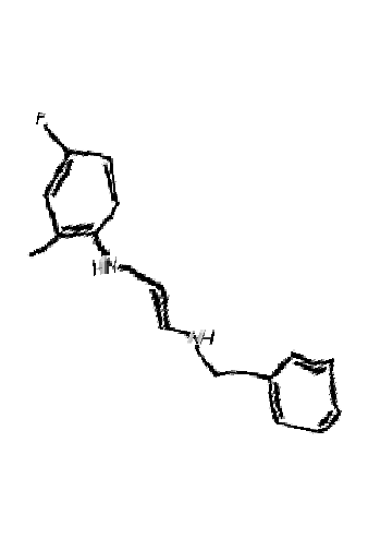 Cc1cc(F)ccc1N/C=C/NCc1ccccc1